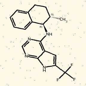 C[C@H]1CCc2ccccc2[C@@H]1Nc1ncnc2[nH]c(C(F)(F)F)cc12